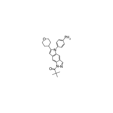 CC(C)(C)C(=O)n1ncc2cc3c(cc(C4CCOCC4)n3-c3ccc(P)cc3)cc21